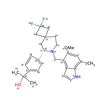 COc1cc(C)c2[nH]ccc2c1CN1CCC2(C[C@H]1c1ccc(C(C)(C)O)cc1)CC(F)(F)C2